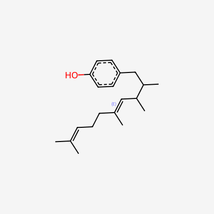 CC(C)=CCC/C(C)=C/C(C)C(C)Cc1ccc(O)cc1